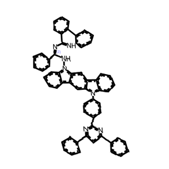 N=C(/N=C(\Nn1c2ccccc2c2cc3c(cc21)c1ccccc1n3-c1ccc(-c2nc(-c3ccccc3)cc(-c3ccccc3)n2)cc1)c1ccccc1)c1ccccc1-c1ccccc1